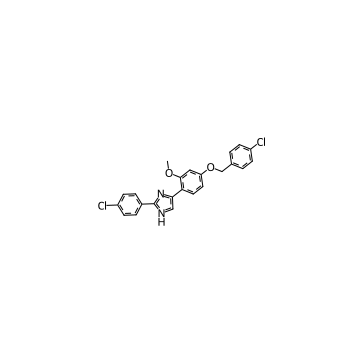 COc1cc(OCc2ccc(Cl)cc2)ccc1-c1c[nH]c(-c2ccc(Cl)cc2)n1